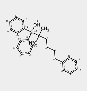 CC(C)(CCCCc1ccccc1)[Si](O)(c1ccccc1)c1ccccc1